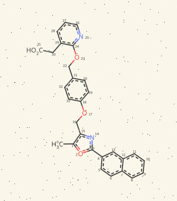 Cc1oc(-c2ccc3ccccc3c2)nc1COc1ccc(COc2ncccc2CC(=O)O)cc1